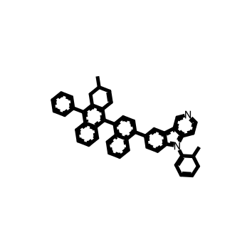 CC1C=Cc2c(c(-c3ccccc3)c3ccccc3c2-c2ccc(-c3ccc4c(c3)c3cnccc3n4C3=CC=CCC3C)c3ccccc23)C1